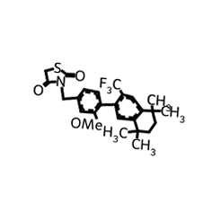 COc1cc(CN2C(=O)CSC2=O)ccc1-c1cc2c(cc1C(F)(F)F)C(C)(C)CCC2(C)C